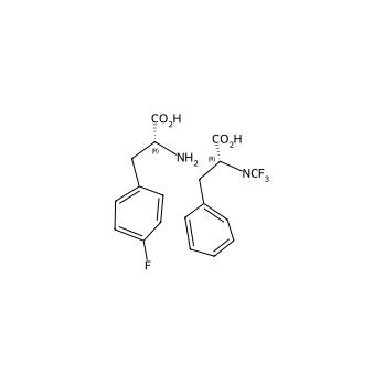 N[C@H](Cc1ccc(F)cc1)C(=O)O.O=C(O)[C@@H](Cc1ccccc1)NC(F)(F)F